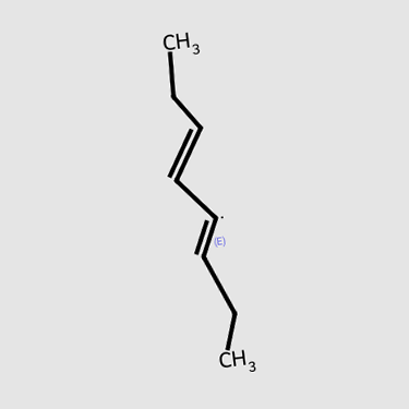 CCC=C/[C]=C/CC